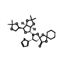 CC1(C)OCC([C@@H]2O[C@@H](N3O[C@@]4(C[C@@H]3c3cccs3)OC3(CCCCC3)OC4=O)[C@@H]3OC(C)(C)O[C@@H]32)O1